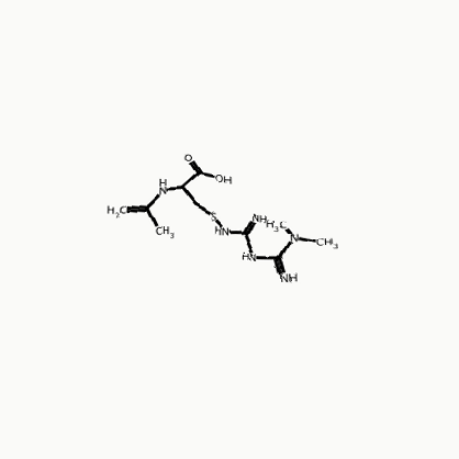 C=C(C)NC(CSNC(=N)NC(=N)N(C)C)C(=O)O